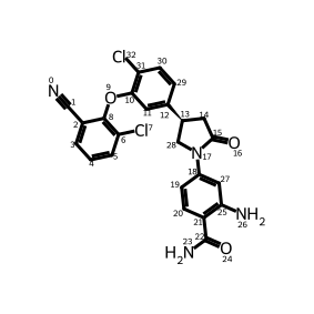 N#Cc1cccc(Cl)c1Oc1cc([C@H]2CC(=O)N(c3ccc(C(N)=O)c(N)c3)C2)ccc1Cl